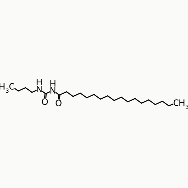 CCCCCCCCCCCCCCCCCC(=O)NC(=O)NCCCC